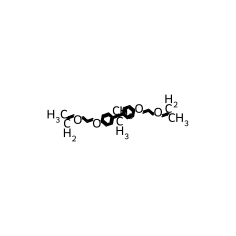 C=C(C)COCCCOc1ccc(C(C)(C)c2ccc(OCCCOCC(=C)C)cc2)cc1